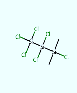 C[Si](C)(Cl)[Si](Cl)(Cl)[Si](Cl)(Cl)Cl